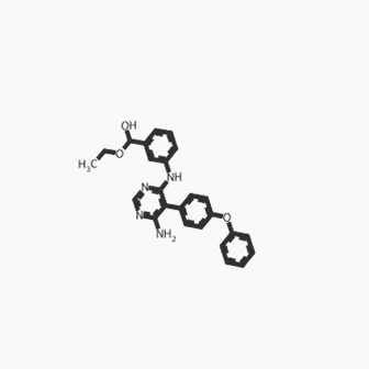 CCOC(O)c1cccc(Nc2ncnc(N)c2-c2ccc(Oc3ccccc3)cc2)c1